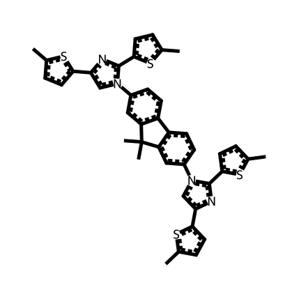 Cc1ccc(-c2cn(-c3ccc4c(c3)C(C)(C)c3cc(-n5cc(-c6ccc(C)s6)nc5-c5ccc(C)s5)ccc3-4)c(-c3ccc(C)s3)n2)s1